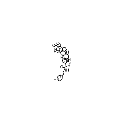 C[C@]12CC[C@H](NC(=O)NCCN3CCNCC3)C[C@H]1CC[C@@H]1[C@@H]2C[C@@H](O)[C@]2(C)[C@@H](C3=CC(=O)OC3)CC[C@]12O